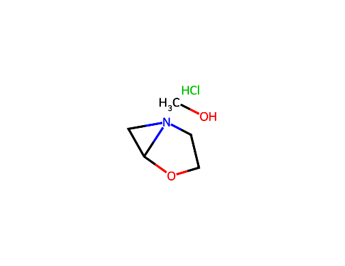 C1CN2CC2O1.CO.Cl